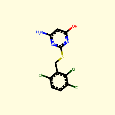 Nc1cc(O)nc(SCc2c(Cl)ccc(Cl)c2Cl)n1